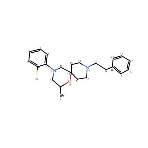 CC(C)C1CN(c2ccccc2F)CC2(CCN(CCc3ccccc3)CC2)O1